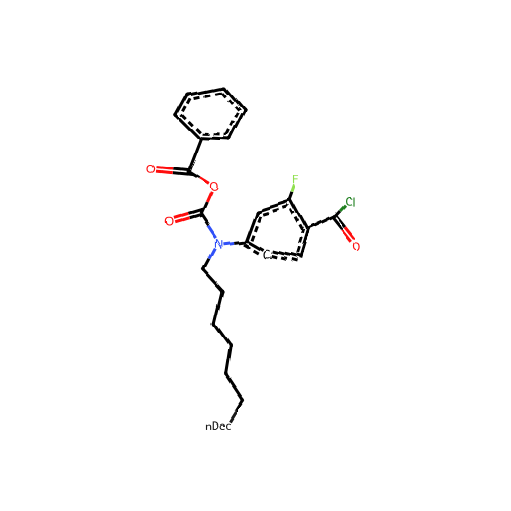 CCCCCCCCCCCCCCCCN(C(=O)OC(=O)c1ccccc1)c1ccc(C(=O)Cl)c(F)c1